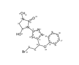 CN1CC(O)N(c2nnc(C(CCBr)Oc3ccccc3)s2)C1=O